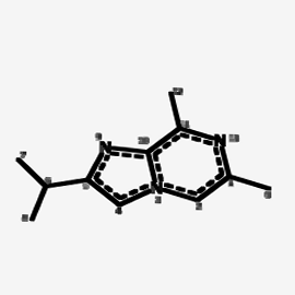 Cc1cn2cc(C(C)C)nc2c(C)n1